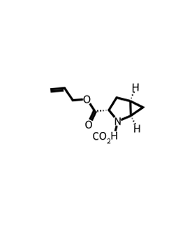 C=CCOC(=O)[C@@H]1C[C@H]2C[C@H]2N1C(=O)O